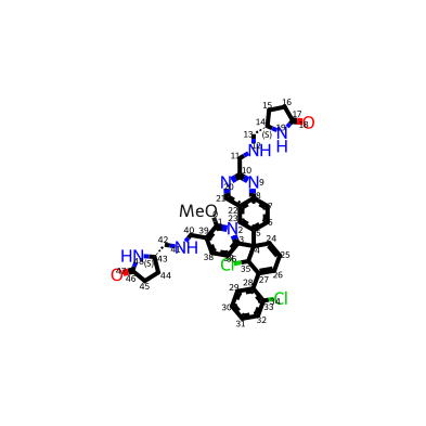 COc1nc(C2(c3ccc4nc(CNC[C@@H]5CCC(=O)N5)ncc4c3)C=CC=C(c3ccccc3Cl)C2Cl)ccc1CNC[C@@H]1CCC(=O)N1